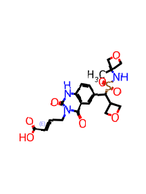 CC1(NS(=O)(=O)C(c2ccc3[nH]c(=O)n(C/C=C/C(=O)O)c(=O)c3c2)C2COC2)COC1